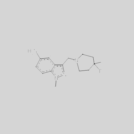 Cn1nc(CN2CCC(F)(F)CC2)c2cc(N)ccc21